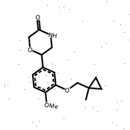 COc1ccc(C2CNC(=O)CO2)cc1OCC1(C)CC1